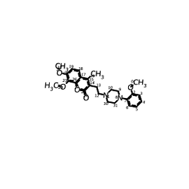 COc1ccccc1N1CCN(CCc2c(C)c3ccc(OC)c(OC)c3oc2=O)CC1